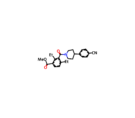 CCc1ccc(C(=O)OC)c(CC)c1C(=O)N1CCC(c2ccc(C#N)cc2)CC1